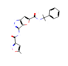 Cc1cc(C(=O)Nc2n[nH]c3cc(C(=O)NC(C)(C)c4ccccc4)oc23)no1